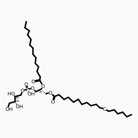 CCCCCCCCCCCCCCCCCC(=O)OC[C@H](COP(=O)(O)OC[C@@H](O)[C@H](O)CO)OC(=O)CCCCCCCCCCCCC